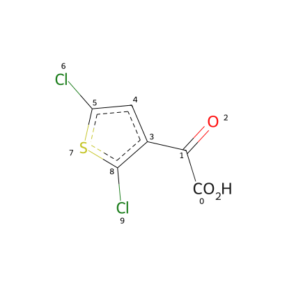 O=C(O)C(=O)c1cc(Cl)sc1Cl